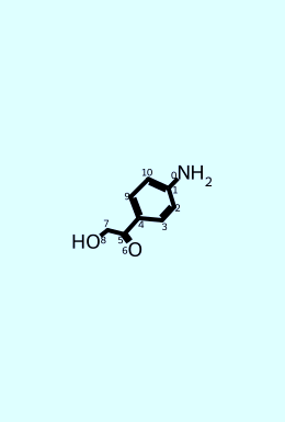 Nc1ccc(C(=O)CO)cc1